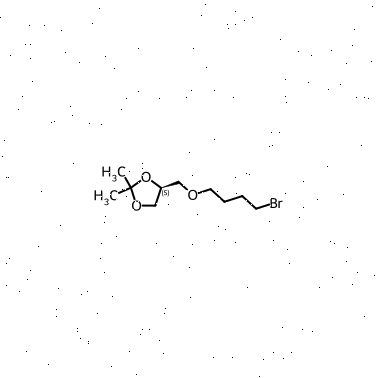 CC1(C)OC[C@H](COCCCCBr)O1